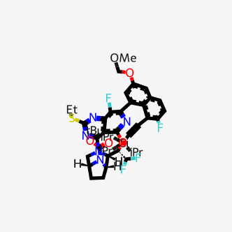 CCSc1nc2c3c(nc(-c4cc(OCOC)cc5ccc(F)c(C#C[Si](C(C)C)(C(C)C)C(C)C)c45)c(F)c3n1)O[C@H](C(F)F)[C@@H]1[C@@H]3CC[C@H](CN21)N3C(=O)OC(C)(C)C